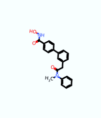 CN(C(=O)Cc1cccc(-c2ccc(C(=O)NO)cc2)c1)c1ccccc1